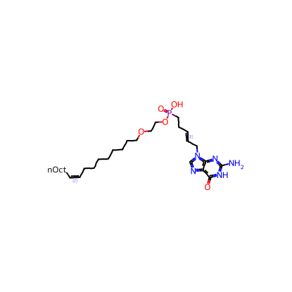 CCCCCCCC/C=C\CCCCCCCCOCCOP(=O)(O)CC/C=C/Cn1cnc2c(=O)[nH]c(N)nc21